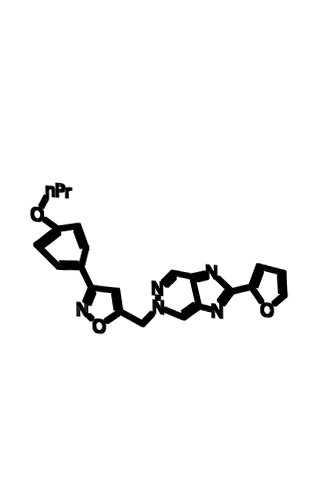 CCCOc1ccc(-c2cc(Cn3cc4nc(-c5ccco5)nc-4cn3)on2)cc1